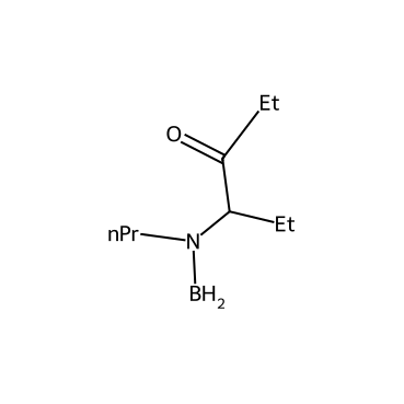 BN(CCC)C(CC)C(=O)CC